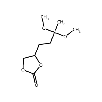 CO[Si](C)(CCC1COC(=O)O1)OC